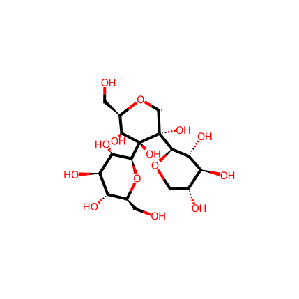 OC[C@@H]1O[C@H]([C@]2(O)[C@H](O)[C@@H](CO)O[CH][C@@]2(O)[C@@H]2OC[C@@H](O)[C@H](O)[C@H]2O)[C@@H](O)[C@H](O)[C@H]1O